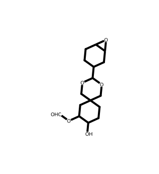 O=COC1CC2(CCC1O)COC(C1CCC3OC3C1)OC2